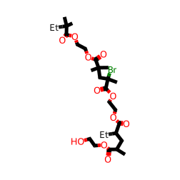 CCC(CC(C)C(=O)OCCO)C(=O)OCCOC(=O)C(C)(Br)CC(C)(C)C(=O)OCCOC(=O)C(C)(C)CC